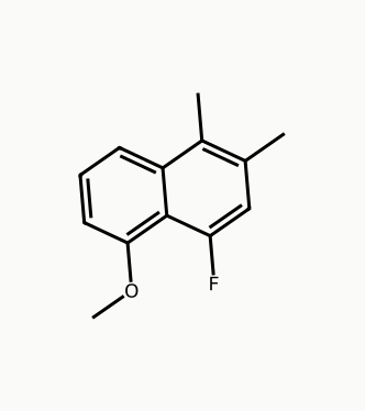 COc1cccc2c(C)c(C)cc(F)c12